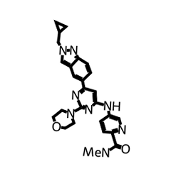 CNC(=O)c1ccc(Nc2cc(-c3ccc4nn(CC5CC5)cc4c3)nc(N3CCOCC3)n2)cn1